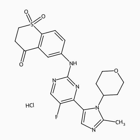 Cc1ncc(-c2nc(Nc3ccc4c(c3)C(=O)CCS4(=O)=O)ncc2F)n1C1CCOCC1.Cl